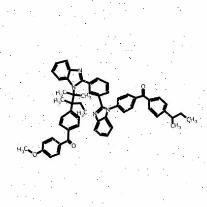 CCC(C)c1ccc(C(=O)c2ccc(-n3c(-c4cccc(-c5nc6ccccc6n5C(C)(C)C(C)(CC)c5ccc(C(=O)c6ccc(OC)cc6)cc5)c4)nc4ccccc43)cc2)cc1